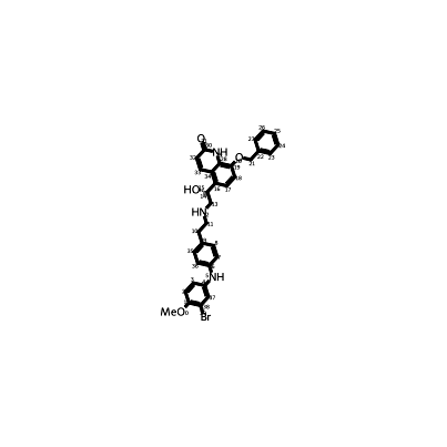 COc1ccc(Nc2ccc(CCNC[C@H](O)c3ccc(OCc4ccccc4)c4[nH]c(=O)ccc34)cc2)cc1Br